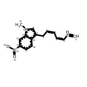 C#[PH]/C=C\C=C/Cc1cn(C)c2cc([N+](=O)[O-])ccc12